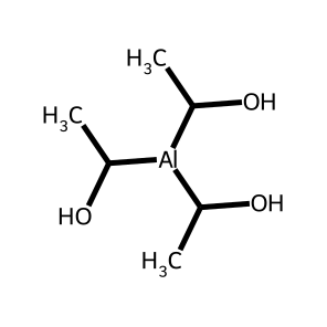 C[CH](O)[Al]([CH](C)O)[CH](C)O